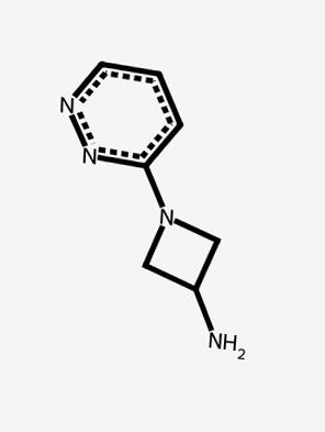 NC1CN(c2cccnn2)C1